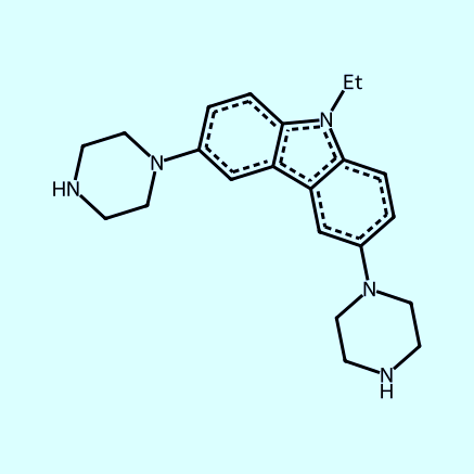 CCn1c2ccc(N3CCNCC3)cc2c2cc(N3CCNCC3)ccc21